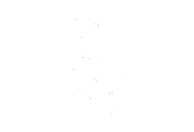 NCC(CN)CC(O)Cc1c[nH]c([N+](=O)[O-])n1